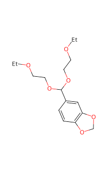 CCOCCOC(OCCOCC)c1ccc2c(c1)OCO2